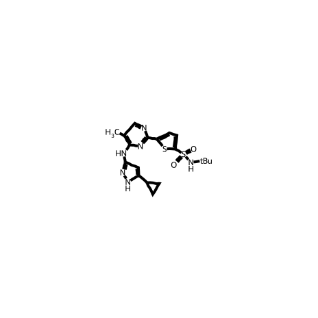 Cc1cnc(-c2ccc(S(=O)(=O)NC(C)(C)C)s2)nc1Nc1cc(C2CC2)[nH]n1